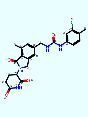 Cc1ccc(NC(=O)NCc2cc(C)c3c(c2)CN(C2CCC(=O)NC2=O)C3=O)cc1Cl